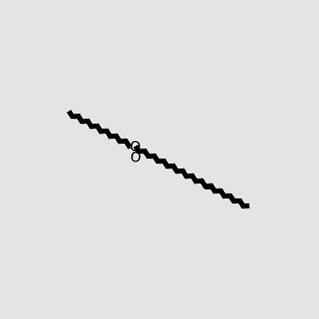 CCCCCCCCC=CCCCCCCCCCCCCCC(=O)OCCCCCCCCCCCCCC